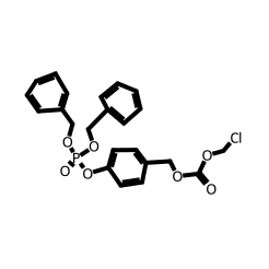 O=C(OCCl)OCc1ccc(OP(=O)(OCc2ccccc2)OCc2ccccc2)cc1